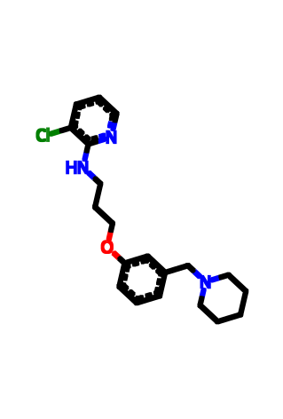 Clc1cccnc1NCCCOc1cccc(CN2CCCCC2)c1